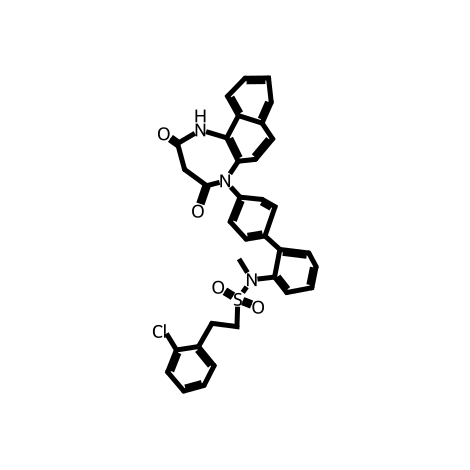 CN(c1ccccc1-c1ccc(N2C(=O)CC(=O)Nc3c2ccc2ccccc32)cc1)S(=O)(=O)CCc1ccccc1Cl